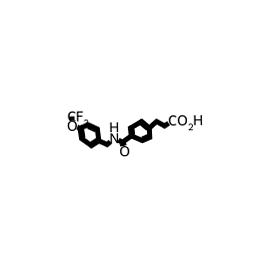 O=C(O)CCc1ccc(C(=O)NCc2ccc(OC(F)(F)F)cc2)cc1